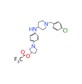 O=C(OC1CCN(c2ccc(NC3CCN(Cc4ccc(Cl)cc4)CC3)cc2)C1)C(F)(F)F